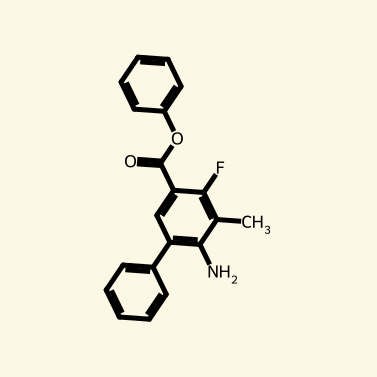 Cc1c(N)c(-c2ccccc2)cc(C(=O)Oc2ccccc2)c1F